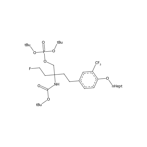 CCCCCCCOc1ccc(CCC(CCF)(COP(=O)(OC(C)(C)C)OC(C)(C)C)NC(=O)OC(C)(C)C)cc1C(F)(F)F